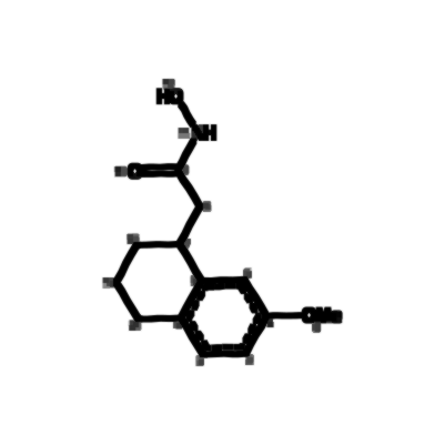 COc1ccc2c(c1)C(CC(=O)NO)CCC2